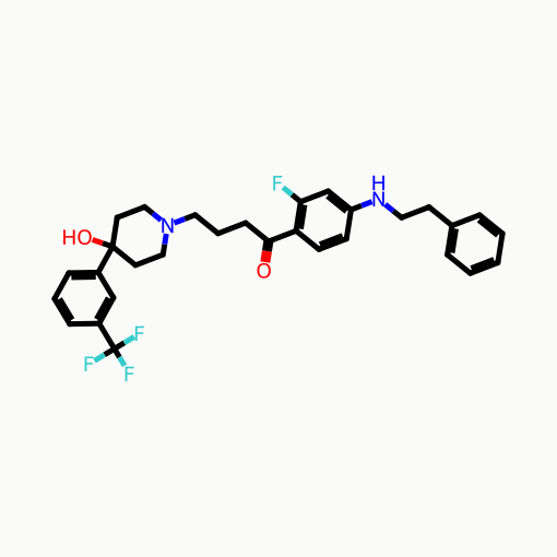 O=C(CCCN1CCC(O)(c2cccc(C(F)(F)F)c2)CC1)c1ccc(NCCc2ccccc2)cc1F